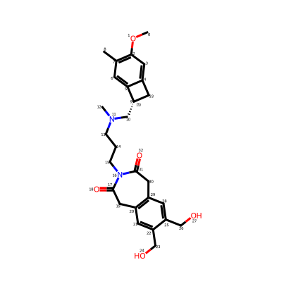 COc1cc2c(cc1C)[C@@H](CN(C)CCCN1C(=O)Cc3cc(CO)c(CO)cc3CC1=O)C2